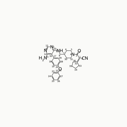 N#CC(C(=O)N1CCC(CNc2ncnc(N)c2-c2ccc(Oc3ccccc3)cc2)CC1)=C1CCCC1